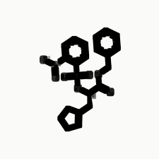 O=C(OCc1ccccc1)[C@@H](CC1=CCCC1)OS(=O)(=O)c1ccccc1[N+](=O)[O-]